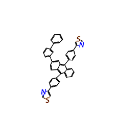 c1ccc(-c2cccc(-c3ccc4c(-c5ccc(-c6cscn6)cc5)c5ccccc5c(-c5ccc(-c6cscn6)cc5)c4c3)c2)cc1